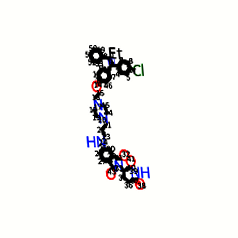 CC/C(=C(\c1ccc(Cl)cc1)c1ccc(OCCN2CCN(CCCNc3ccc4c(c3)C(=O)N(C3CCC(=O)NC3=O)C4=O)CC2)cc1)c1ccccc1